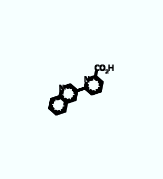 O=C(O)c1cccc(-c2cnc3ccccc3c2)n1